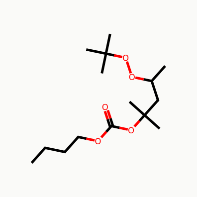 CCCCOC(=O)OC(C)(C)CC(C)OOC(C)(C)C